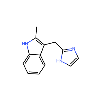 Cc1[nH]c2ccccc2c1Cc1ncc[nH]1